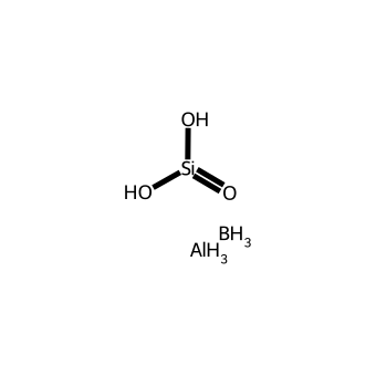 B.O=[Si](O)O.[AlH3]